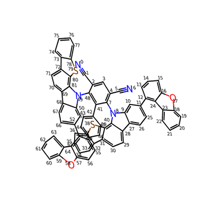 N#Cc1cc(C#N)c(-n2c3cc(-c4cccc5oc6ccccc6c45)ccc3c3ccc4c5ccccc5sc4c32)c(-c2ccccc2)c1-n1c2cc(-c3cccc4oc5ccccc5c34)ccc2c2ccc3c4ccccc4sc3c21